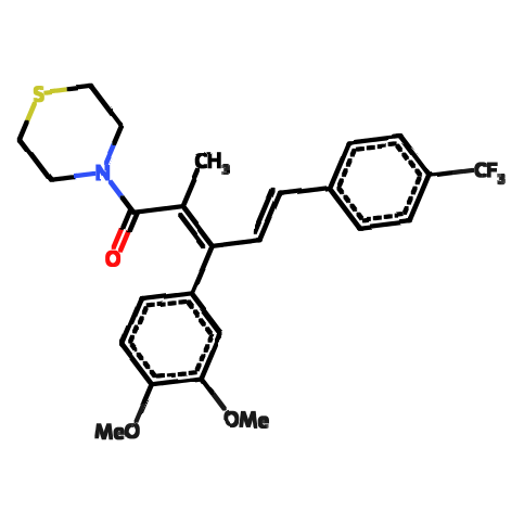 COc1ccc(C(C=Cc2ccc(C(F)(F)F)cc2)=C(C)C(=O)N2CCSCC2)cc1OC